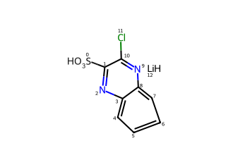 O=S(=O)(O)c1nc2ccccc2nc1Cl.[LiH]